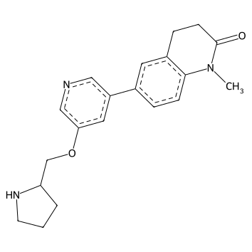 CN1C(=O)CCc2cc(-c3cncc(OCC4CCCN4)c3)ccc21